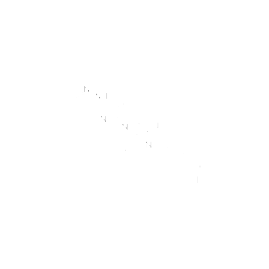 CCOc1ccc(N2C[C@H]3CN(C(=O)Nc4cc(C)n[nH]4)C[C@@H]2C(C)(C)C3)cc1